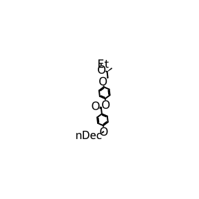 CCCCCCCCCCOc1ccc(C(=O)Oc2ccc(OC[C@H](C)OCC)cc2)cc1